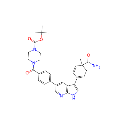 CC(C)(C)OC(=O)N1CCN(C(=O)c2ccc(-c3cnc4[nH]cc(C5=CCC(C)(C(N)=O)C=C5)c4c3)cc2)CC1